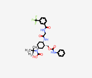 CC(C)(C)N(C(=O)O)[C@@H]1CC[C@H](NC(=O)CNC(=O)c2cccc(C(F)(F)F)c2)[C@H](COC(=O)Nc2ccccc2)C1